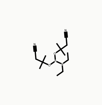 CCN(CC)P(OC(C)(C)CC#N)OC(C)(C)CC#N